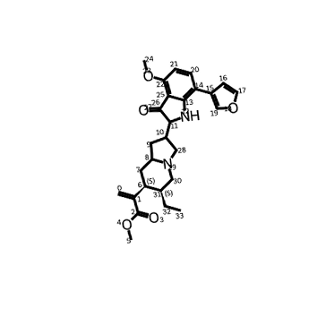 C=C(C(=O)OC)[C@H]1CC2CC(C3Nc4c(-c5ccoc5)ccc(OC)c4C3=O)CN2C[C@H]1CC